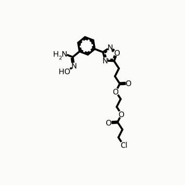 N/C(=N\O)c1cccc(-c2noc(CCC(=O)OCCOC(=O)CCCl)n2)c1